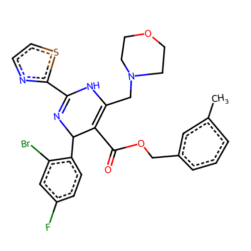 Cc1cccc(COC(=O)C2=C(CN3CCOCC3)NC(c3nccs3)=NC2c2ccc(F)cc2Br)c1